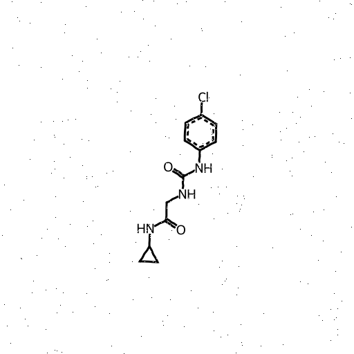 O=C(CNC(=O)Nc1ccc(Cl)cc1)NC1CC1